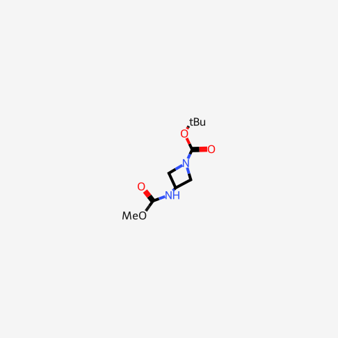 COC(=O)NC1CN(C(=O)OC(C)(C)C)C1